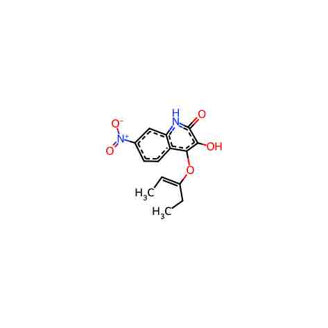 CC=C(CC)Oc1c(O)c(=O)[nH]c2cc([N+](=O)[O-])ccc12